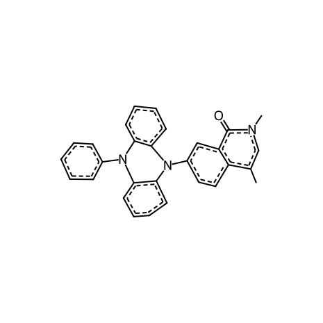 Cc1cn(C)c(=O)c2cc(N3c4ccccc4N(c4ccccc4)c4ccccc43)ccc12